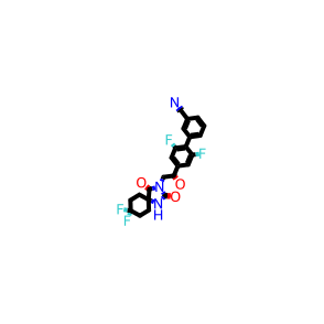 N#Cc1cccc(-c2c(F)cc(C(=O)CN3C(=O)NC4(CCC(F)(F)CC4)C3=O)cc2F)c1